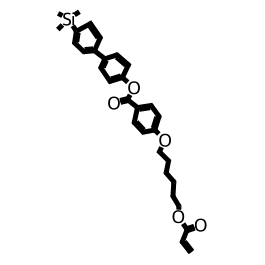 C=CC(=O)OCCCCCCOc1ccc(C(=O)Oc2ccc(-c3ccc([Si](C)(C)C)cc3)cc2)cc1